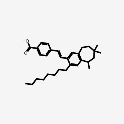 CCCCCCCCc1cc2c(cc1/C=C/c1ccc(C(=O)O)cc1)CCC(C)(C)CC2C